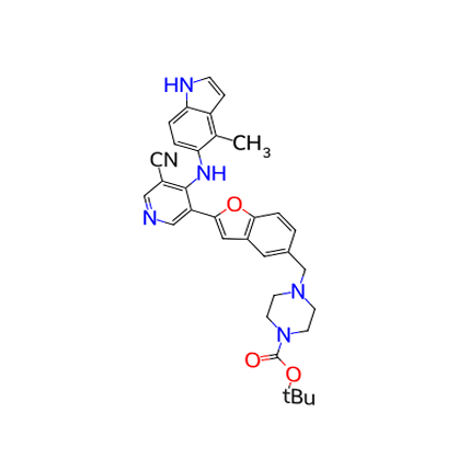 Cc1c(Nc2c(C#N)cncc2-c2cc3cc(CN4CCN(C(=O)OC(C)(C)C)CC4)ccc3o2)ccc2[nH]ccc12